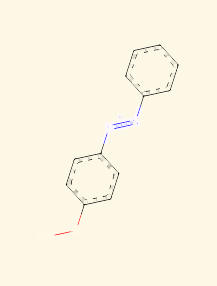 OOc1ccc(/N=N/c2ccccc2)cc1